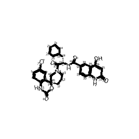 O=C1Nc2ccc(Cl)cc2[C@@]2(CCCN(C(=O)[C@H](Cc3ccccc3)NC(=O)c3ccc4[nH]c(=O)cc(O)c4c3)C2)O1